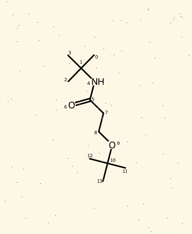 CC(C)(C)NC(=O)CCOC(C)(C)C